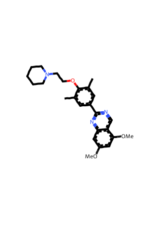 COc1cc(OC)c2cnc(-c3cc(C)c(OCCN4CCCCC4)c(C)c3)nc2c1